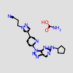 N#CCCn1cc(-c2ccc(-n3nnc4cnc(NC5CCCC5)nc43)nc2)cn1.NC(=O)O